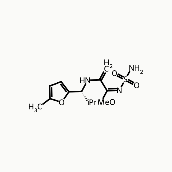 C=C(N[C@@H](c1ccc(C)o1)C(C)C)/C(=N\S(N)(=O)=O)OC